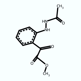 COC(=O)C(=O)c1ccccc1NNC(C)=O